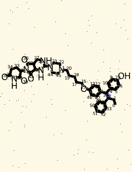 CC/C(=C(\c1ccc(O)cc1)c1ccc(OCCCCCN2CCN(C3NCC4C(=O)N(C5CCC(=O)NC5=O)C(=O)C4N3)CC2)cc1)c1ccccc1